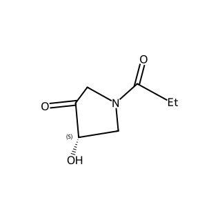 CCC(=O)N1CC(=O)[C@@H](O)C1